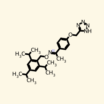 C/C(=N\OCc1c(C(C)C)cc(C(C)C)cc1C(C)C)c1ccc(OCc2nnn[nH]2)cc1